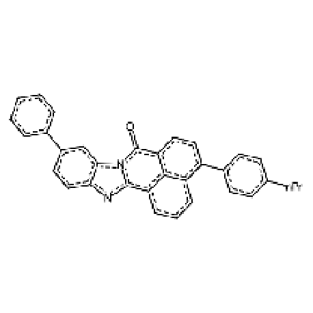 CCCc1ccc(-c2ccc3c(=O)n4c5cc(-c6ccccc6)ccc5nc4c4cccc2c34)cc1